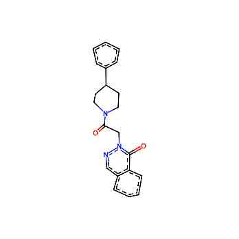 O=C(Cn1ncc2ccccc2c1=O)N1CCC(c2ccccc2)CC1